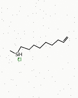 C=CCCCCCCC[SiH](C)Cl